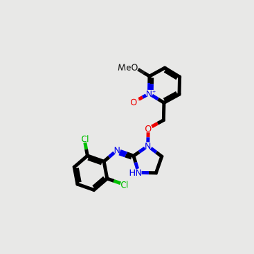 COc1cccc(CON2CCN/C2=N\c2c(Cl)cccc2Cl)[n+]1[O-]